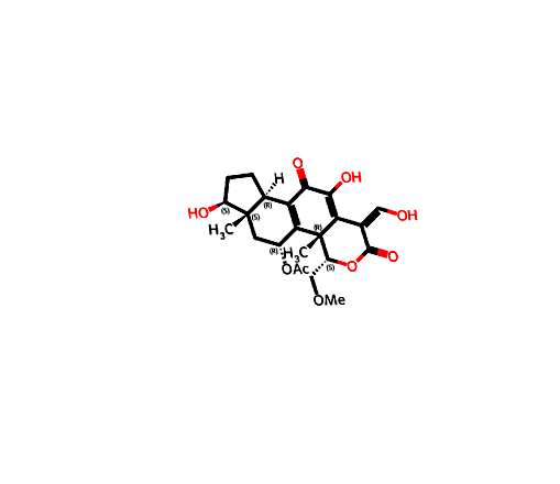 COC[C@H]1OC(=O)C(=CO)C2=C(O)C(=O)C3=C([C@H](OC(C)=O)C[C@]4(C)[C@@H](O)CC[C@@H]34)[C@]21C